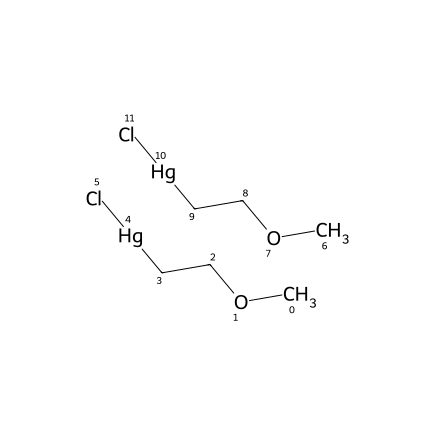 COC[CH2][Hg][Cl].COC[CH2][Hg][Cl]